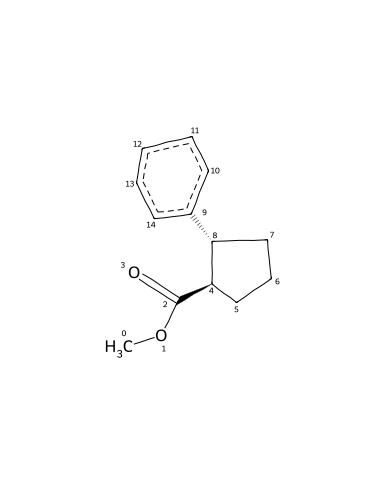 COC(=O)[C@@H]1CCC[C@H]1c1ccccc1